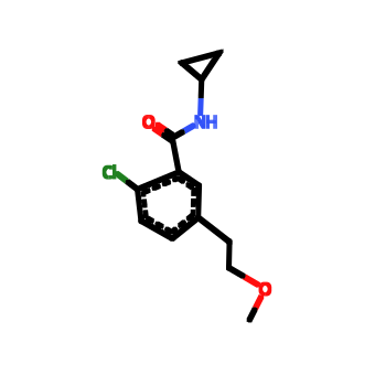 COCCc1ccc(Cl)c(C(=O)NC2CC2)c1